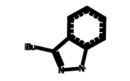 CCC(C)C1=N[N]c2ccccc21